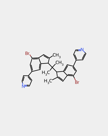 CC1=Cc2c(Br)cc(-c3ccncc3)cc2C1C(C)(C)C1C(C)=Cc2c(Br)cc(-c3ccncc3)cc21